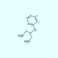 NCC(CN)Oc1ccccc1